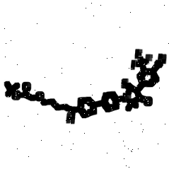 CC(C)(C)OC(=O)COCCCCNc1ccc(-c2ccc(N3C(=S)C(c4ccc(C#N)c(C(F)(F)F)c4)C(=O)C3(C)C)cc2)cc1